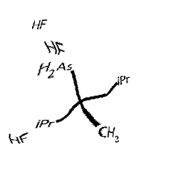 CC(C)C(C)([AsH2])C(C)C.F.F.F